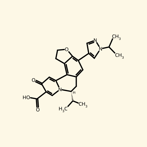 CC(C)[C@H]1Cc2cc(-c3cnn(C(C)C)c3)c3c(c2-c2cc(=O)c(C(=O)O)cn21)CCO3